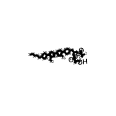 C=C(C)C(=O)OCC(COC(=O)C(=C)CO)CC1CCC(c2ccc(-c3ccc(C4CCC(CCCCC)CC4)c(CC)c3)cc2C)CC1